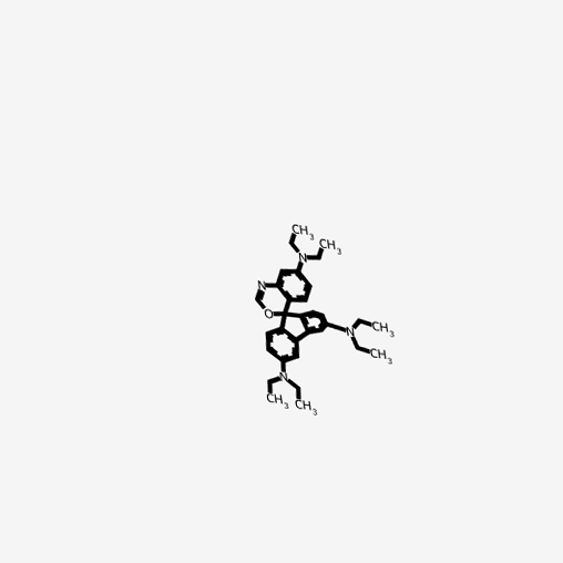 CCN(CC)c1ccc2c(c1)N=COC21c2ccc(N(CC)CC)cc2-c2cc(N(CC)CC)ccc21